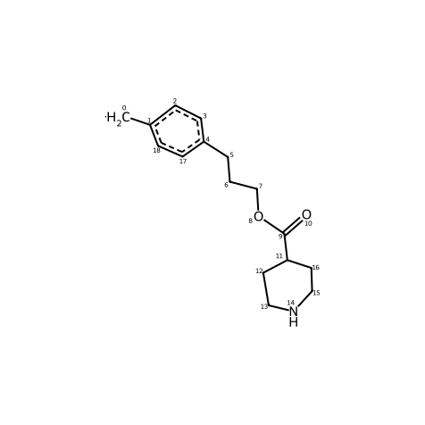 [CH2]c1ccc(CCCOC(=O)C2CCNCC2)cc1